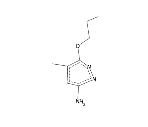 CCCOc1nnc(N)cc1C